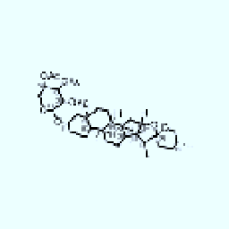 CC(=O)O[C@@H]1[C@@H](O[C@H]2CC[C@@]3(C)[C@@H](CC[C@@H]4[C@@H]3CC[C@]3(C)[C@@H]5[C@H](C[C@@H]43)O[C@]3(CC[C@@H](C)CO3)[C@H]5C)C2)OC[C@H](OC(C)=O)[C@H]1OC(C)=O